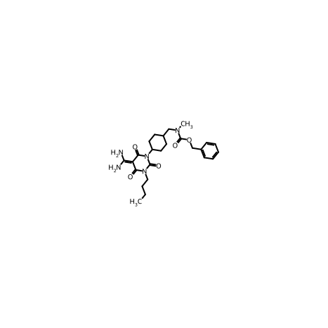 CCCCN1C(=O)C(=C(N)N)C(=O)N(C2CCC(CN(C)C(=O)OCc3ccccc3)CC2)C1=O